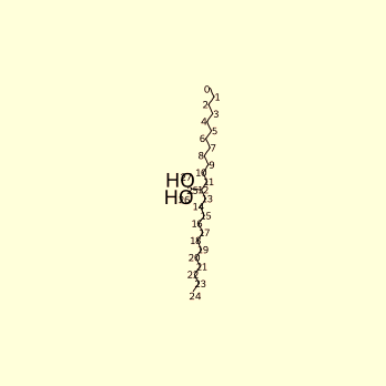 CCCCCCCCCCCCC(CCCCCCCCCCCC)[C](O)O